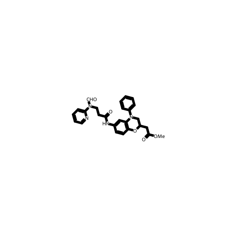 COC(=O)CC1CN(c2ccccc2)c2cc(NC(=O)CCN(C=O)c3ccccn3)ccc2O1